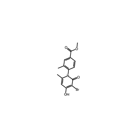 COC(=O)c1ccc(-n2c(C)cc(O)c(Br)c2=O)c(C)c1